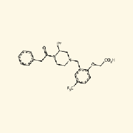 CC(C)[C@H]1CN(Cc2cc(C(F)(F)F)ccc2OCC(=O)O)CCN1C(=O)Cc1ccccc1